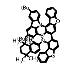 Cc1c(N2B3c4c(cc5oc6ccccc6c5c4-n4c5ccc(C(C)(C)C)cc5c5cc(C(C)(C)C)cc3c54)-c3ccc4sc5ccccc5c4c32)ccc2c1C(C)(C)CCC2(C)C